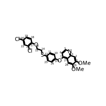 COc1cc2nccc(Oc3ccc(SCCOc4ccc(Cl)cc4Cl)cc3)c2cc1OC